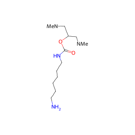 CNCC(CNC)OC(=O)NCCCCCCN